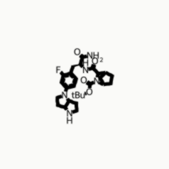 CC(C)(C)OC(=O)N1C2CCC(C2)C1C(=O)N[C@@H](Cc1ccc(N2CCC3NCCC32)cc1F)C(N)=O